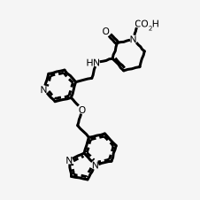 O=C(O)N1CCC=C(NCc2ccncc2OCc2cccn3ccnc23)C1=O